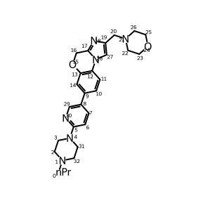 CCCN1CCN(c2ccc(-c3ccc4c(c3)OCc3nc(CN5CCOCC5)cn3-4)cn2)CC1